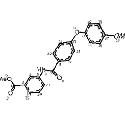 COC(=O)c1cc(NC(=O)c2ccc(Oc3ccc(OC)cc3)cc2)ccn1